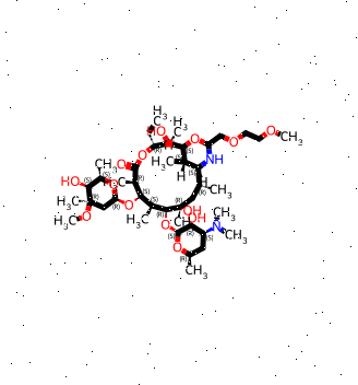 CC[C@H]1OC(=O)[C@H](C)[C@@H](O[C@H]2C[C@@](C)(OC)[C@@H](O)[C@H](C)O2)[C@H](C)[C@@H](O[C@@H]2O[C@H](C)C[C@H](N(C)C)[C@H]2O)[C@](C)(O)C[C@@H](C)[C@@H]2NC(COCCOC)O[C@@H]([C@H]2C)[C@]1(C)O